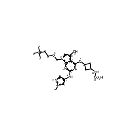 Cn1cc(Nc2nc(OC3CC(NC(=O)O)C3)c3c(C#N)cn(COCC[Si](C)(C)C)c3n2)cn1